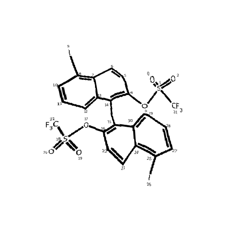 O=S(=O)(Oc1ccc2c(I)cccc2c1-c1c(OS(=O)(=O)C(F)(F)F)ccc2c(I)cccc12)C(F)(F)F